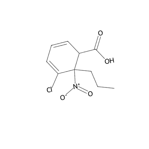 CCCC1([N+](=O)[O-])C(Cl)=CC=CC1C(=O)O